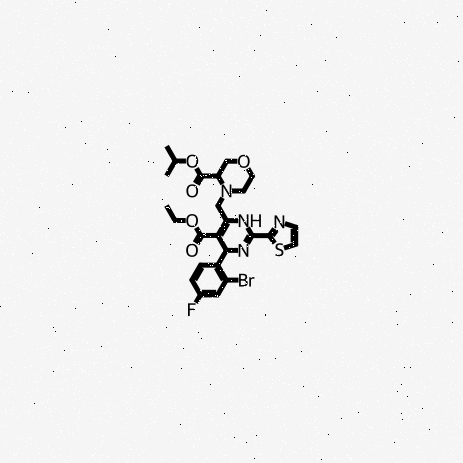 CCOC(=O)C1=C(CN2CCOCC2C(=O)OC(C)C)NC(c2nccs2)=NC1c1ccc(F)cc1Br